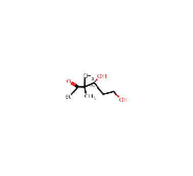 CCC(=O)C(C)(C)[C@@H](O)CCO